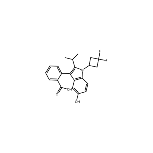 CC(C)c1c(-c2ccccc2C(=O)O)c2cc(O)ccc2n1C1CC(F)(F)C1